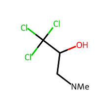 CNCC(O)C(Cl)(Cl)Cl